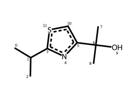 CC(C)c1nc(C(C)(C)O)cs1